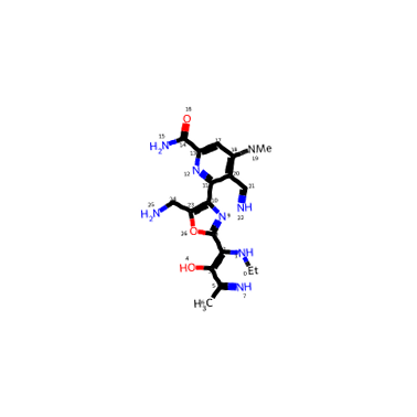 CCN/C(=C(/O)C(C)=N)c1nc(-c2nc(C(N)=O)cc(NC)c2C=N)c(CN)o1